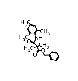 Cc1cc(C)c(NC(=O)C(C)(C)C(=O)OCc2ccccc2)c(C)c1